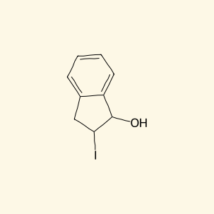 OC1c2ccccc2CC1I